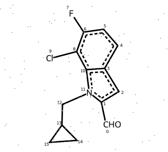 O=Cc1cc2ccc(F)c(Cl)c2n1CC1CC1